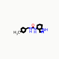 Cc1ccc(CNC(=O)Nc2cccc3[nH]ncc23)cc1